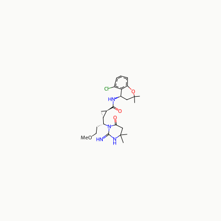 COCC[C@H]([C@@H]1C[C@H]1C(=O)N[C@@H]1CC(C)(C)Oc2cccc(Cl)c21)N1C(=N)NC(C)(C)CC1=O